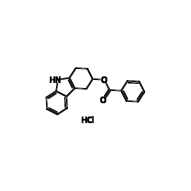 Cl.O=C(OC1CCc2[nH]c3ccccc3c2C1)c1ccccc1